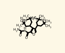 CC1(C)CC(c2coc(C(=O)NC(N)=O)c2C2CC(C)(C)NC(C)(C)C2)CC(C)(C)N1